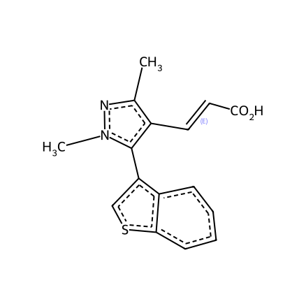 Cc1nn(C)c(-c2csc3ccccc23)c1/C=C/C(=O)O